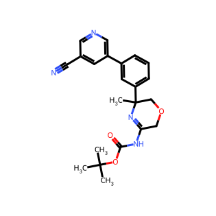 CC(C)(C)OC(=O)NC1=NC(C)(c2cccc(-c3cncc(C#N)c3)c2)COC1